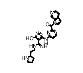 N=C(NCCC1CCCN1)c1c(O)nsc1Nc1ccnc(C(=O)n2ccc3ccncc32)n1